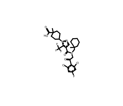 CC1(CN(CC(=O)c2c(Cl)cc(F)cc2Cl)C(=O)c2cnn(C3CCC(C)(C(=O)O)CC3)c2C(F)(F)F)CCCCC1